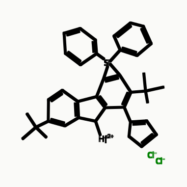 CC(C)(C)c1ccc2c(c1)[CH]([Hf+2])c1c(C3=CC=CC3)c(C(C)(C)C)c3c(c1-2)[Si]3(c1ccccc1)c1ccccc1.[Cl-].[Cl-]